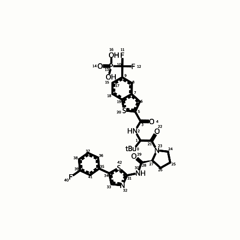 CC(C)(C)C(NC(=O)c1cc2cc(C(F)(F)P(=O)(O)O)ccc2s1)C(=O)N1CCC[C@H]1C(=O)Nc1ncc(-c2cccc(F)c2)s1